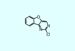 Clc1ncc2oc3ccccc3c2n1